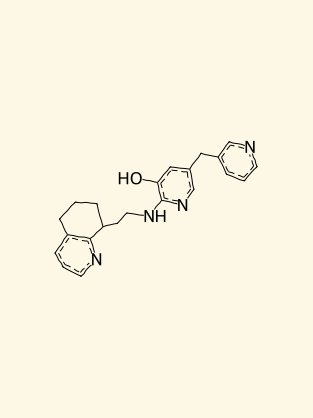 Oc1cc(Cc2cccnc2)cnc1NCCC1CCCc2cccnc21